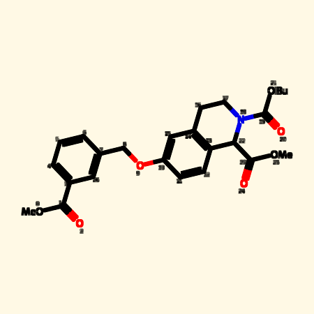 COC(=O)c1cccc(COc2ccc3c(c2)CCN(C(=O)OCC(C)C)C3C(=O)OC)c1